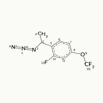 CC(N=[N+]=[N-])c1ccc(OC(F)(F)F)cc1F